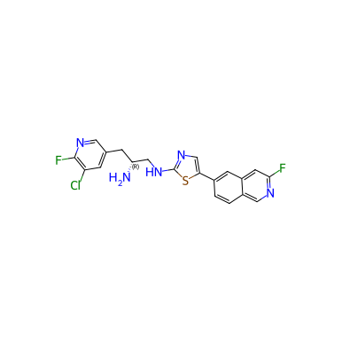 N[C@@H](CNc1ncc(-c2ccc3cnc(F)cc3c2)s1)Cc1cnc(F)c(Cl)c1